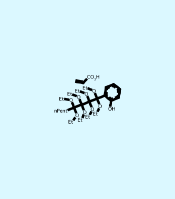 C=CC(=O)O.CCCCCC(OCC)(OCC)C(OCC)(OCC)C(OCC)(OCC)C(OCC)(OCC)c1ccccc1O